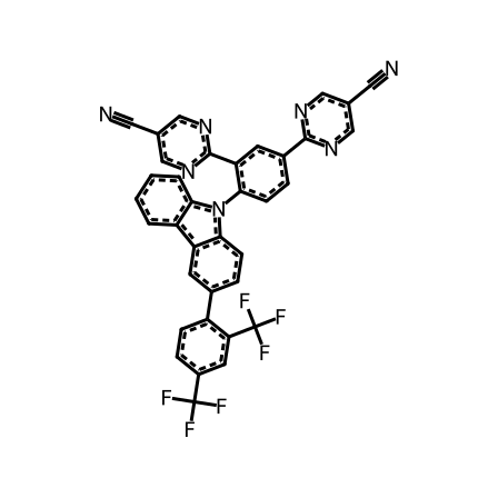 N#Cc1cnc(-c2ccc(-n3c4ccccc4c4cc(-c5ccc(C(F)(F)F)cc5C(F)(F)F)ccc43)c(-c3ncc(C#N)cn3)c2)nc1